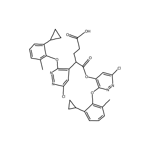 Cc1cccc(C2CC2)c1Oc1nnc(Cl)cc1OC(=O)C(CCC(=O)O)c1cc(Cl)nnc1Oc1c(C)cccc1C1CC1